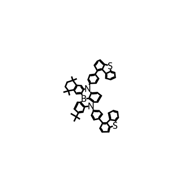 CC(C)(C)c1ccc2c(c1)N(c1ccc(-c3cccc4sc5ccccc5c34)cc1)c1cccc3c1B2c1cc2c(cc1N3c1ccc(-c3cccc4sc5ccccc5c34)cc1)C(C)(C)CCC2(C)C